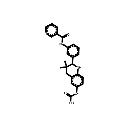 CC1(C)Cc2cc(OC(=O)O)ccc2NC1c1cccc(NC(=O)c2cccnc2)c1